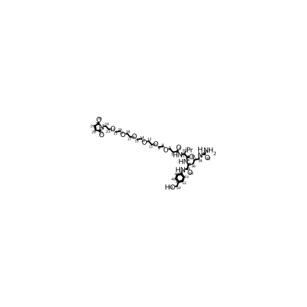 CC(C)[C@H](NC(=O)CCOCCOCCOCCOCCOCCOCCN1C(=O)C=CC1=O)C(=O)N[C@@H](CCCNC(N)=O)C(=O)Nc1ccc(CO)cc1